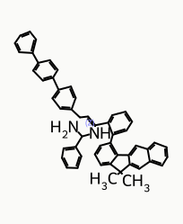 CC1(C)c2cc3ccccc3cc2-c2c(-c3ccccc3/C(=C/Cc3ccc(-c4ccc(-c5ccccc5)cc4)cc3)NC(N)c3ccccc3)cccc21